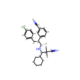 C[C@H](NC(C1CCCCC1)C(C)(C)C#N)[C@@H](Cc1ccc(Cl)cc1)c1cccc(C#N)c1